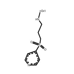 CCCCCCCCNCCCS(=O)(=O)c1ccncc1